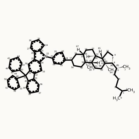 CC(C)CCC[C@@H](C)[C@H]1CC[C@H]2[C@@H]3CC[C@H]4CC(c5ccc(-n6c7ccccc7c7cc8c(cc76)-c6ccccc6C8(c6ccccc6)c6ccccc6)cc5)CC[C@]4(C)[C@H]3CC[C@]12C